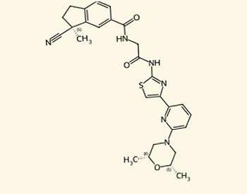 C[C@@H]1CN(c2cccc(-c3csc(NC(=O)CNC(=O)c4ccc5c(c4)[C@@](C)(C#N)CC5)n3)n2)C[C@H](C)O1